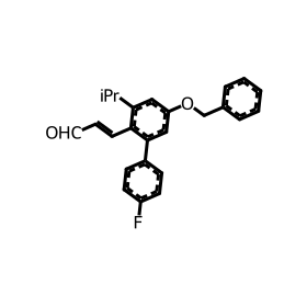 CC(C)c1cc(OCc2ccccc2)cc(-c2ccc(F)cc2)c1C=CC=O